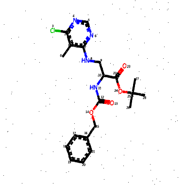 Cc1c(Cl)ncnc1NCC(NC(=O)OCc1ccccc1)C(=O)OC(C)(C)C